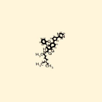 CCN(CC)CCCC(C)NC(=O)c1cn2c3c(c(C4CCC(c5cnccn5)C4)ccc3c1=O)Oc1ccccc1-2